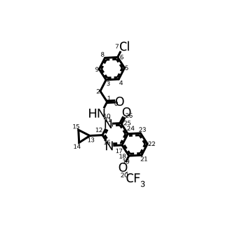 O=C(Cc1ccc(Cl)cc1)Nn1c(C2CC2)nc2c(OC(F)(F)F)cccc2c1=O